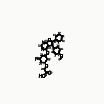 COc1ccc(-c2c(-c3ccccc3)oc3ncnc(O[C@H]4C[C@H](F)C[C@@H](OCC(=O)O)C4)c23)cc1